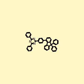 c1ccc(-c2nc(-c3ccccc3)nc(-c3ccc(-c4cccc5c4-c4ccccc4C5(c4ccccc4)c4ccccc4)cc3)n2)cc1